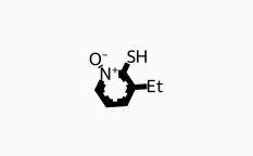 CCc1ccc[n+]([O-])c1S